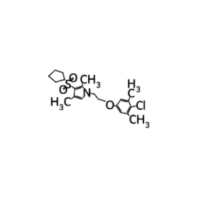 Cc1cc(OCCCn2cc(C)c(S(=O)(=O)C3CCCC3)c2C)cc(C)c1Cl